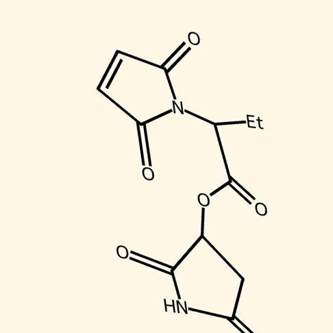 CCC(C(=O)OC1CC(=O)NC1=O)N1C(=O)C=CC1=O